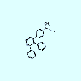 CN(C)c1ccc(-c2ccnc(-c3ccccc3)c2-c2ccccc2)cc1